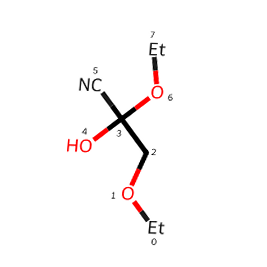 CCOCC(O)(C#N)OCC